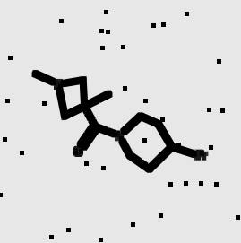 CC(C)C1CCN(C(=O)C2(C)CN(C)C2)CC1